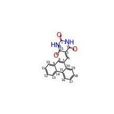 O=C1NC(=O)C(=Cc2cc3ccccc3c3ccccc23)C(=O)N1